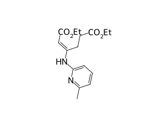 CCOC(=O)C=C(CCC(=O)OCC)Nc1cccc(C)n1